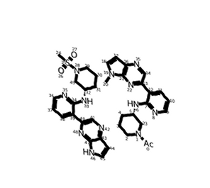 CC(=O)N1CCC[C@H](Nc2ncccc2-c2cnc3ccn(C)c3n2)C1.CS(=O)(=O)N1CCC[C@H](Nc2ncccc2-c2cnc3cc[nH]c3n2)C1